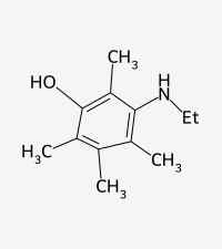 CCNc1c(C)c(C)c(C)c(O)c1C